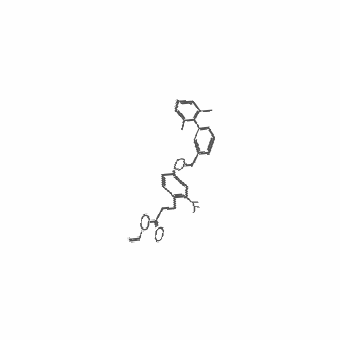 CCOC(=O)CCc1ccc(OCc2cccc(-c3c(C)cccc3C)c2)cc1F